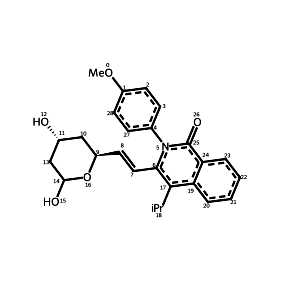 COc1ccc(-n2c(C=C[C@@H]3C[C@@H](O)CC(O)O3)c(C(C)C)c3ccccc3c2=O)cc1